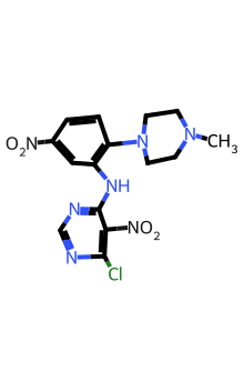 CN1CCN(c2ccc([N+](=O)[O-])cc2Nc2ncnc(Cl)c2[N+](=O)[O-])CC1